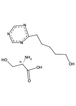 N[C@@H](CO)C(=O)O.OCCCCCc1ncncn1